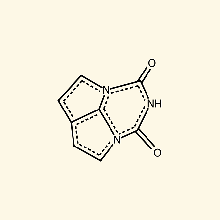 O=c1[nH]c(=O)n2ccc3ccn1c32